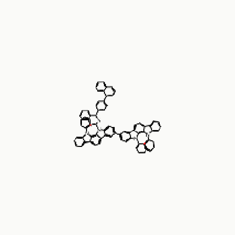 c1ccc(-n2c3ccccc3c3ccc4c5cc(-c6ccc7c(c6)c6ccc8c9ccccc9n(-c9ccccc9)c8c6n7-c6nc(-c7ccc(-c8cccc9ccccc89)cc7)c7ccccc7n6)ccc5n(-c5ccccc5)c4c32)cc1